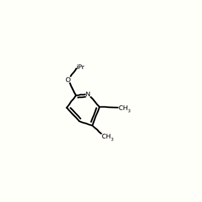 Cc1ccc(OC(C)C)nc1C